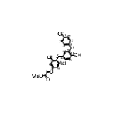 COC(=O)COc1cc(Cl)c(Cc2ccc(O)c(Cc3ccc(Cl)cc3)c2)c(Cl)c1